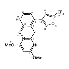 COc1cc(OC)nc(Cc2c(-c3noc(C(F)(F)F)n3)cc[nH]c2=O)n1